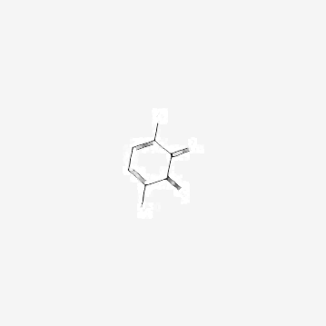 CCCC1=CC=C(Cl)C(=O)C1=O